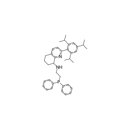 CC(C)c1cc(C(C)C)c(-c2ccc3c(n2)C(NCCP(c2ccccc2)c2ccccc2)CCC3)c(C(C)C)c1